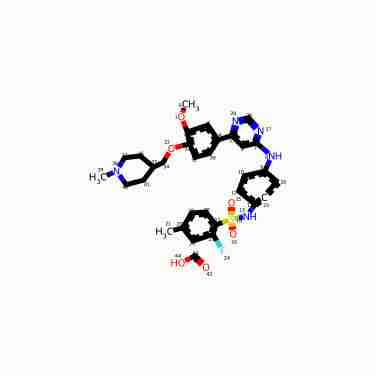 COc1cc(-c2cc(Nc3ccc(NS(=O)(=O)c4ccc(C)cc4F)cc3)ncn2)ccc1OCC1CCN(C)CC1.O=CO